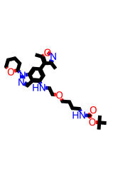 Cc1noc(C)c1-c1cc(NCCOCCCCNC(=O)OC(C)(C)C)c2cnn(C3CCCCO3)c2c1